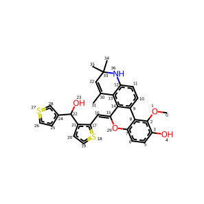 COc1c(O)ccc2c1-c1ccc3c(c1/C(=C/c1sccc1C(O)c1ccsc1)O2)C(C)=CC(C)(C)N3